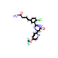 NC(=O)CCCc1ccc(Cl)c(-c2nc(-c3ccc(OC(F)F)cn3)cc(=O)[nH]2)c1